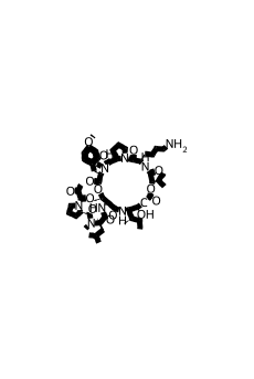 CC[C@H](C)[C@@H]1NC(=O)[C@H](NC(=O)[C@@H](CC(C)C)N(C)C(=O)[C@@H]2CCCN2C(=O)C(C)=O)[C@H](C)OC(=O)[C@H](Cc2ccc(OC)cc2)N(C)C(=O)[C@@H]2CCCN2C(=O)[C@H](CCCCN)NC(=O)[C@H](C(C)C)OC(=O)C[C@@H]1O